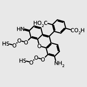 N=c1ccc2c(-c3cc(C(=O)O)ccc3C(=O)O)c3ccc(N)c(OOOS)c3oc-2c1OOOS